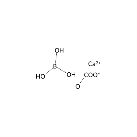 O=C([O-])[O-].OB(O)O.[Ca+2]